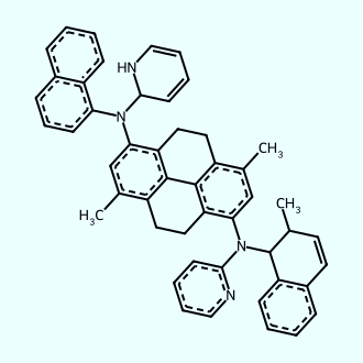 Cc1cc(N(c2cccc3ccccc23)C2C=CC=CN2)c2c3c1CCc1c(N(c4ccccn4)C4c5ccccc5C=CC4C)cc(C)c(c1-3)CC2